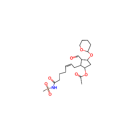 CC(=O)OC1CC(OC2CCCCO2)C(C=O)C1C/C=C\CCCC(=O)NS(C)(=O)=O